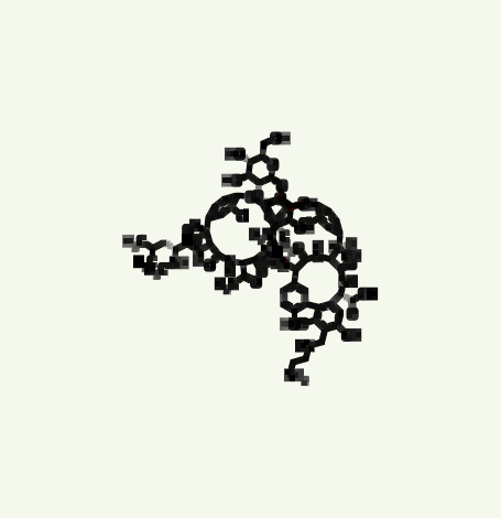 CN[C@H](CC(C)C)C(=O)NC1C(=O)NC(C(N)=O)C(=O)N[C@H]2C(=O)N[C@H]3C(=O)N[C@H](C(=O)N[C@H](C(=O)O)c4cc(O)c(CNCCN)c(O)c4-c4cc3ccc4O)[C@H](O)c3ccc(c(Cl)c3)Oc3cc2cc(c3O[C@@H]2O[C@H](CO)[C@@H](O)[C@H](O)[C@H]2O[C@H]2C[C@](C)(N)[C@H](O)[C@H](C)O2)Oc2ccc(cc2Cl)[C@H]1O